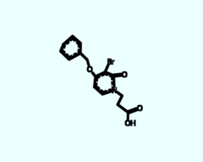 O=C(O)CCn1ccc(OCc2ccccc2)c(Br)c1=O